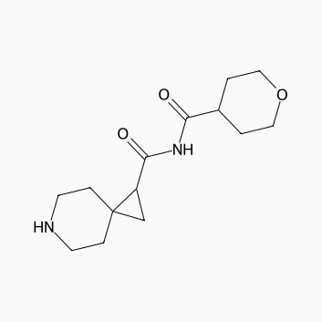 O=C(NC(=O)C1CC12CCNCC2)C1CCOCC1